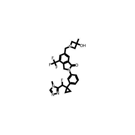 Cn1cnnc1C(F)C1(c2cccc(N3Cc4c(cc(CN5CC(C)(O)C5)cc4C(F)(F)F)C3=O)c2)CC1